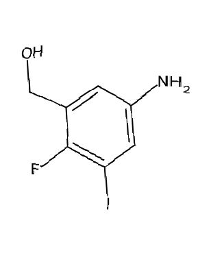 Nc1cc(I)c(F)c(CO)c1